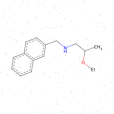 CCOC(C)CNCc1ccc2ccccc2c1